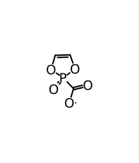 [O]C(=O)P1(=O)OC=CO1